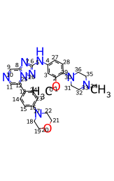 COc1cc(Nc2nc3cncc(-c4ccc(N5CCOCC5)cc4)n3n2)ccc1N1CCN(C)CC1